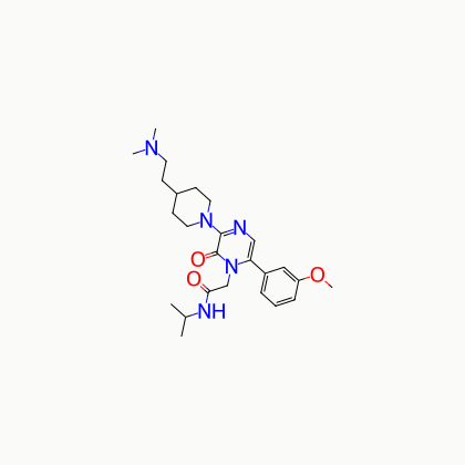 COc1cccc(-c2cnc(N3CCC(CCN(C)C)CC3)c(=O)n2CC(=O)NC(C)C)c1